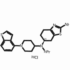 CCCN(C1CCN(c2cccc3sccc23)CC1)[C@H]1CCc2nc(N)sc2C1.Cl